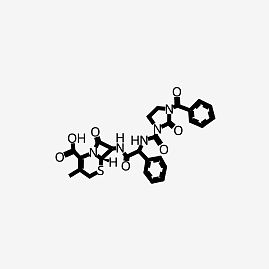 CC1=C(C(=O)O)N2C(=O)C(NC(=O)C(NC(=O)N3CCN(C(=O)c4ccccc4)C3=O)c3ccccc3)[C@@H]2SC1